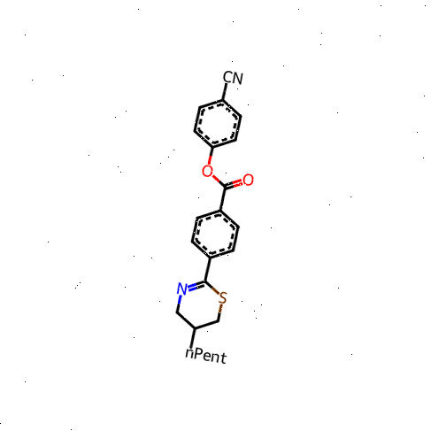 CCCCCC1CN=C(c2ccc(C(=O)Oc3ccc(C#N)cc3)cc2)SC1